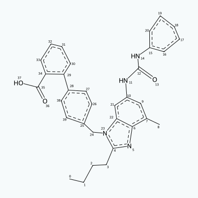 CCCCc1nc2c(C)cc(NC(=O)Nc3ccccc3)cc2n1Cc1ccc(-c2ccccc2C(=O)O)cc1